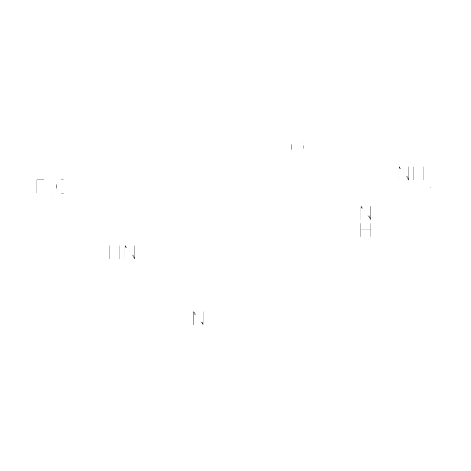 NNC(=O)c1ccnc(NCC(F)(F)F)c1